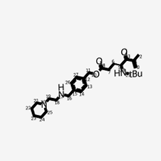 C=C(C)C(=O)[C@H](CCC(=O)OCc1ccc(CNCCN2CCCCC2)cc1)NC(C)(C)C